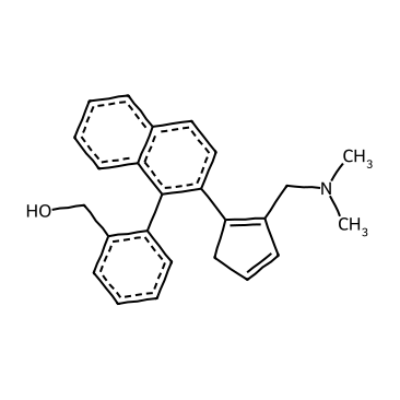 CN(C)CC1=C(c2ccc3ccccc3c2-c2ccccc2CO)CC=C1